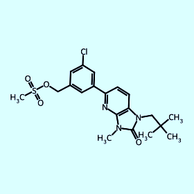 Cn1c(=O)n(CC(C)(C)C)c2ccc(-c3cc(Cl)cc(COS(C)(=O)=O)c3)nc21